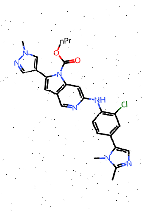 CCCOC(=O)n1c(-c2cnn(C)c2)cc2cnc(Nc3ccc(-c4cnc(C)n4C)cc3Cl)cc21